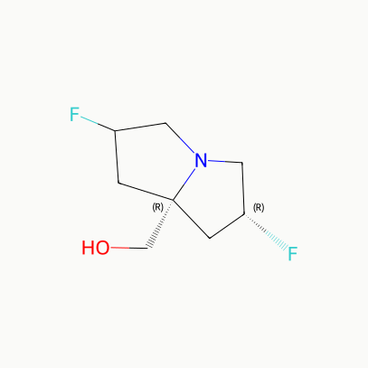 OC[C@]12CC(F)CN1C[C@H](F)C2